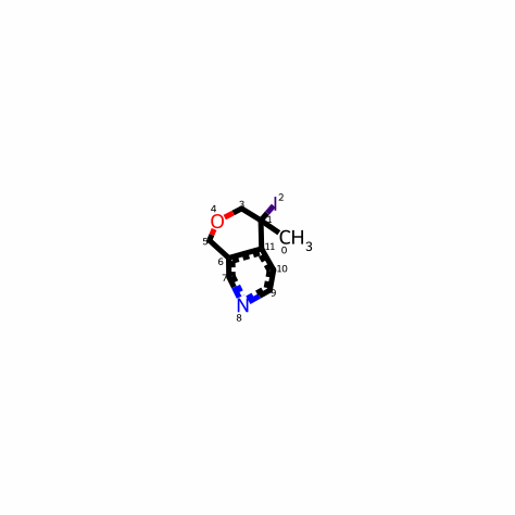 CC1(I)COCc2cnccc21